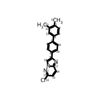 Cc1ccc(-c2ccc(-c3cn4nc(Cl)ccc4n3)cc2)cc1C